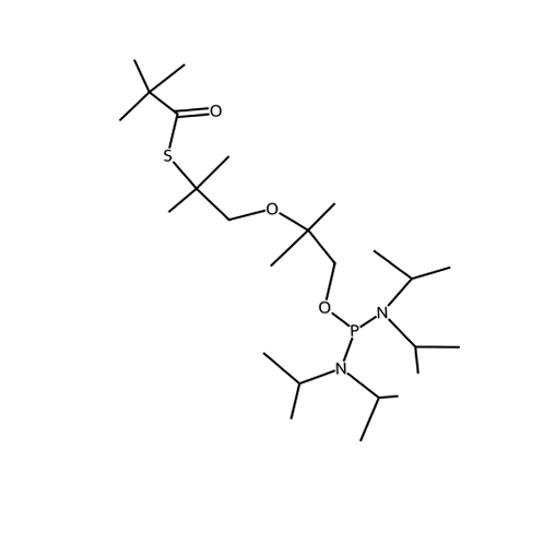 CC(C)N(C(C)C)P(OCC(C)(C)OCC(C)(C)SC(=O)C(C)(C)C)N(C(C)C)C(C)C